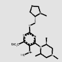 CCOC(=O)c1nc(OC[C@@H]2CCCN2C)nc(N2C(C)CN(C)C[C@@H]2C)c1NO